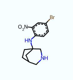 O=[N+]([O-])c1cc(Br)ccc1NC12CCC(CNC1)C2